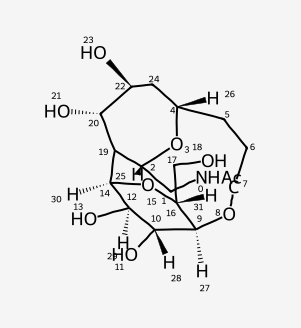 CC(=O)NC[C@H]1O[C@H]2CCCO[C@H]3[C@H](O)[C@@H](O)[C@H](O[C@@H]3CO)C1[C@H](O)[C@@H](O)C2